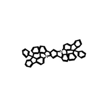 c1ccc(C2(c3ccccc3)c3ccccc3-c3ccc4c(c32)c2cccc3c5cc6c(cc5n4c32)c2cccc3c4c5c(ccc4n6c23)-c2ccccc2C5(c2ccccc2)c2ccccc2)cc1